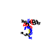 COc1c(NC2COC(C)(C)OC2)cc(C(=O)Nc2nnc(N/C(C)=C\C=N)s2)oc1=O